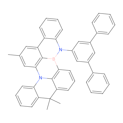 Cc1cc2c3c(c1)N1c4ccccc4C(C)(C)c4cccc(c41)B3N(c1cc(-c3ccccc3)cc(-c3ccccc3)c1)c1ccccc1-2